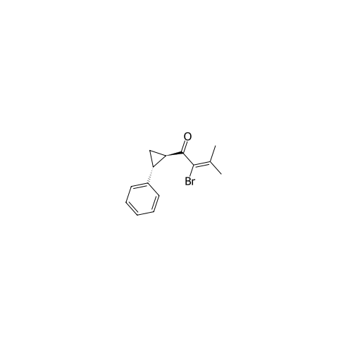 CC(C)=C(Br)C(=O)[C@@H]1C[C@H]1c1ccccc1